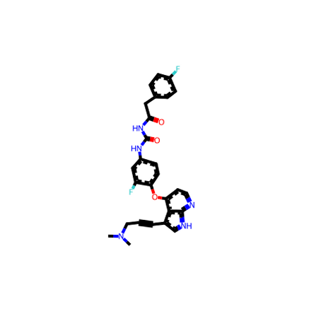 CN(C)CC#Cc1c[nH]c2nccc(Oc3ccc(NC(=O)NC(=O)Cc4ccc(F)cc4)cc3F)c12